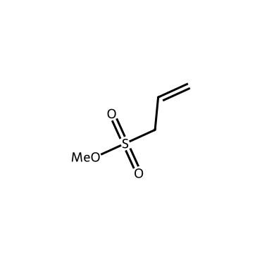 C=CCS(=O)(=O)OC